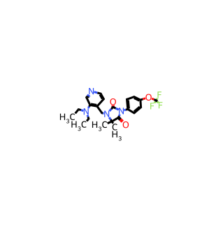 CCN(CC)c1cnccc1CN1C(=O)N(c2ccc(OC(F)(F)F)cc2)C(=O)C1(C)C